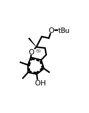 Cc1c(C)c2c(c(C)c1O)CC[C@@](C)(CCOC(C)(C)C)O2